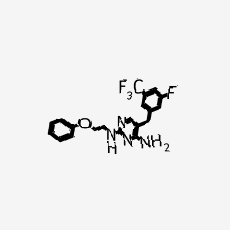 Nc1nc(NCCOc2ccccc2)ncc1Cc1cc(F)cc(C(F)(F)F)c1